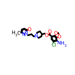 Cc1ccc(=O)n(CCCN2CCC(COC(=O)c3cc(Cl)c(N)c4c3OCO4)CC2)n1